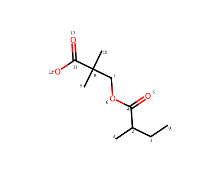 CCC(C)C(=O)OCC(C)(C)C([O])=O